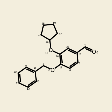 O=Cc1ccc(OCc2ccccc2)c(OC2CCCC2)c1